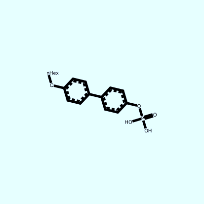 CCCCCCOc1ccc(-c2ccc(OP(=O)(O)O)cc2)cc1